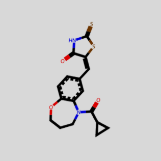 O=C1NC(=S)SC1=Cc1ccc2c(c1)N(C(=O)C1CC1)CCCO2